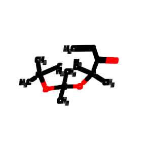 C=CC(=O)[Si](C)(C)O[Si](C)(C)O[Si](C)(C)C